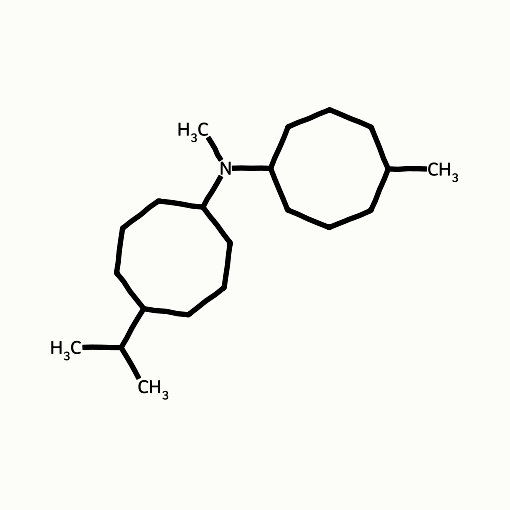 CC1CCCC(N(C)C2CCCC(C(C)C)CCC2)CCC1